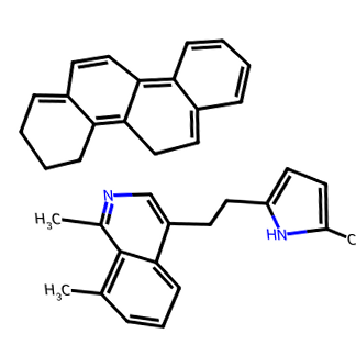 C1=c2ccc3c(c2CCC1)CC=c1ccccc1=3.Cc1ccc(CCc2cnc(C)c3c(C)cccc23)[nH]1